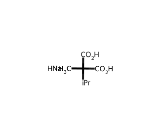 CC(C)C(C)(C(=O)O)C(=O)O.[NaH]